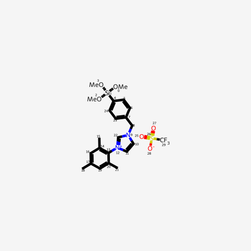 CO[Si](OC)(OC)c1ccc(Cn2cc[n+](-c3c(C)cc(C)cc3C)c2)cc1.O=S(=O)([O-])C(F)(F)F